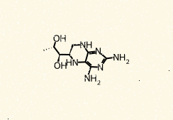 C[C@H](O)[C@H](O)[C@H]1CNc2nc(N)nc(N)c2N1